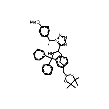 COc1ccc([C@@H](C)n2nnnc2C(CCCCB2OC(C)(C)C(C)(C)O2)NC(c2ccccc2)(c2ccccc2)c2ccccc2)cc1